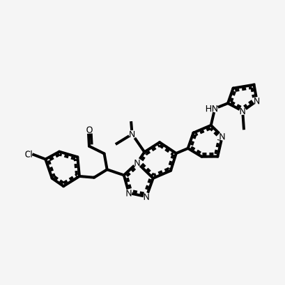 CN(C)c1cc(-c2ccnc(Nc3ccnn3C)c2)cc2nnc(C(CC=O)Cc3ccc(Cl)cc3)n12